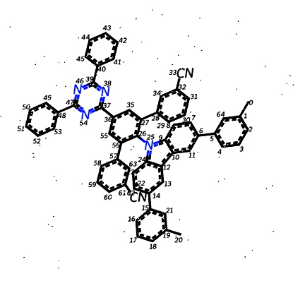 Cc1cccc(-c2ccc3c(c2)c2cc(-c4cccc(C)c4)ccc2n3-c2c(-c3cccc(C#N)c3)cc(-c3nc(-c4ccccc4)nc(-c4ccccc4)n3)cc2-c2cccc(C#N)c2)c1